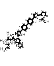 COC(=O)N[C@H](C(=O)N1CC2(C[C@H]1c1ncc(-c3ccc(-c4ccc(-c5cnc(C6CCCN6C(=O)O)[nH]5)cc4)cc3)[nH]1)OCCO2)C(C)C